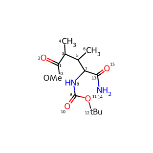 COC(=O)C(C)C(C)C(NC(=O)OC(C)(C)C)C(N)=O